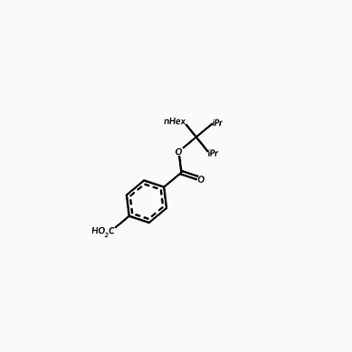 CCCCCCC(OC(=O)c1ccc(C(=O)O)cc1)(C(C)C)C(C)C